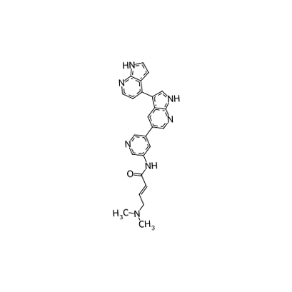 CN(C)CC=CC(=O)Nc1cncc(-c2cnc3[nH]cc(-c4ccnc5[nH]ccc45)c3c2)c1